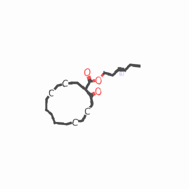 CC/C=C/CCOC(=O)C1CCCCCCCCCCCCCC1=O